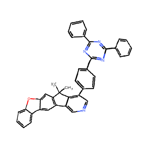 CC1(C)c2cc3oc4ccccc4c3cc2-c2cncc(-c3ccc(-c4nc(-c5ccccc5)nc(-c5ccccc5)n4)cc3)c21